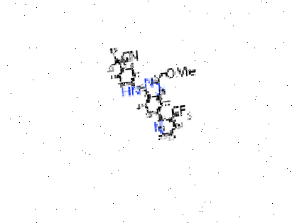 COCc1nc(Nc2ccc(C(C)(C)C#N)cc2)c2ccc(-c3ncccc3C(F)(F)F)cc2n1